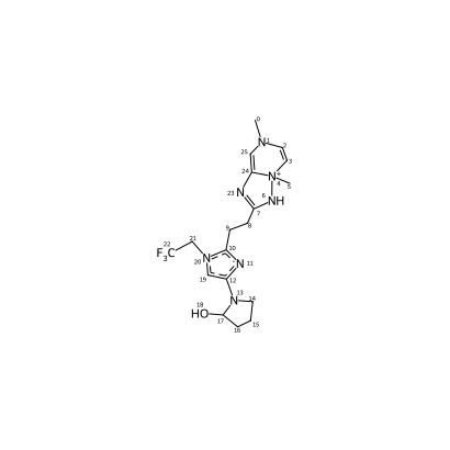 CN1C=C[N+]2(C)NC(CCc3nc(N4CCCC4O)cn3CC(F)(F)F)=NC2=C1